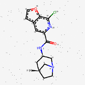 O=C(N[C@@H]1C[C@H]2CCN(C2)C1)c1cc2ccoc2c(Cl)n1